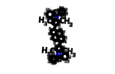 Cc1cc(-c2ccc3ccc4c(-c5cc(C)c6c(c5)C5(C)CCCCC5(C)N6c5ccccc5)ccc5ccc2c3c54)cc2c1N(c1ccccc1)C1(C)CCCCC21C